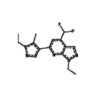 CCn1ncc(-c2cc(C(F)F)c3cnn(CC)c3n2)c1C